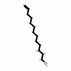 C=CCCCCCCCCCCC[O]